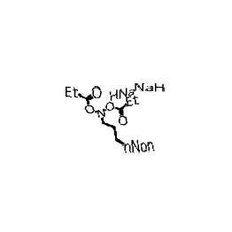 CCCCCCCCCCCCN(OC(=O)CC)OC(=O)CC.[NaH].[NaH]